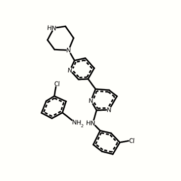 Clc1cccc(Nc2nccc(-c3ccc(N4CCNCC4)nc3)n2)c1.Nc1cccc(Cl)c1